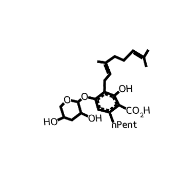 CCCCCc1cc(OC2OCC(O)CC2O)c(C/C=C(\C)CCC=C(C)C)c(O)c1C(=O)O